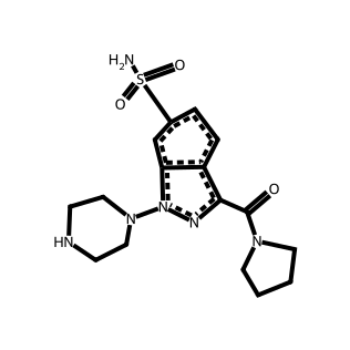 NS(=O)(=O)c1ccc2c(C(=O)N3CCCC3)nn(N3CCNCC3)c2c1